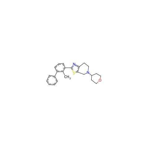 Cc1c(-c2ccccc2)cccc1-c1nc2c(s1)CN(C1CCOCC1)CC2